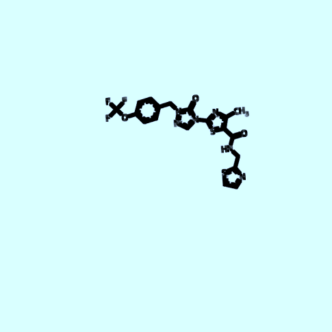 Cc1nc(-n2cnn(Cc3ccc(OC(F)(F)F)cc3)c2=O)sc1C(=O)NCc1nccs1